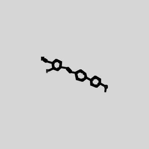 COc1ccc(-c2ccc(C#Cc3ccc(C#N)c(F)c3)cc2)cc1